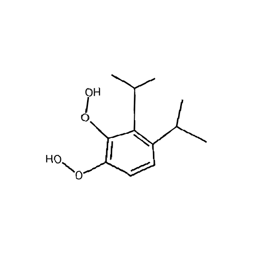 CC(C)c1ccc(OO)c(OO)c1C(C)C